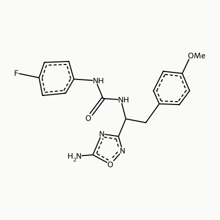 COc1ccc(CC(NC(=O)Nc2ccc(F)cc2)c2noc(N)n2)cc1